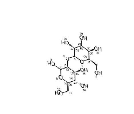 OC[C@H]1OC(O[C@@H]2C(O)O[C@H](CO)[C@@H](O)[C@@H]2O)[C@@H](O)[C@@H](O)[C@H]1O